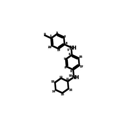 Cc1ccc(Nc2ccc(NC3CCCCC3)cc2)cc1